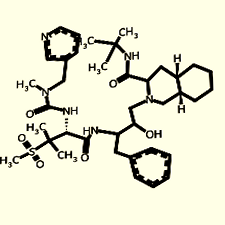 CN(Cc1cccnc1)C(=O)N[C@H](C(=O)NC(Cc1ccccc1)C(O)CN1C[C@H]2CCCC[C@H]2CC1C(=O)NC(C)(C)C)C(C)(C)S(C)(=O)=O